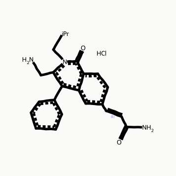 CC(C)Cn1c(CN)c(-c2ccccc2)c2cc(/C=C/C(N)=O)ccc2c1=O.Cl